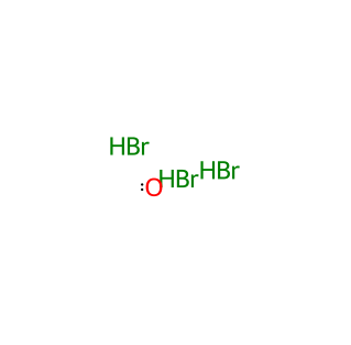 Br.Br.Br.[O]